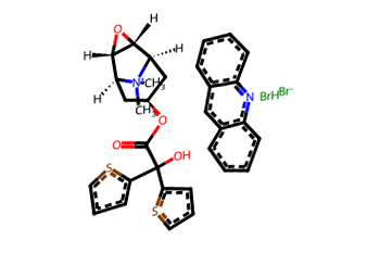 Br.C[N+]1(C)[C@@H]2C[C@@H](OC(=O)C(O)(c3cccs3)c3cccs3)C[C@H]1[C@@H]1O[C@@H]12.[Br-].c1ccc2nc3ccccc3cc2c1